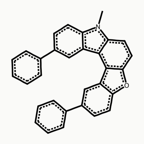 Cn1c2ccc(-c3ccccc3)cc2c2c3c(ccc21)oc1ccc(-c2ccccc2)cc13